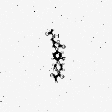 CC(=O)NCC1CN(c2ccc(N3C=NN(C(=O)C(C)=O)CC3)c(F)c2)C(=O)O1